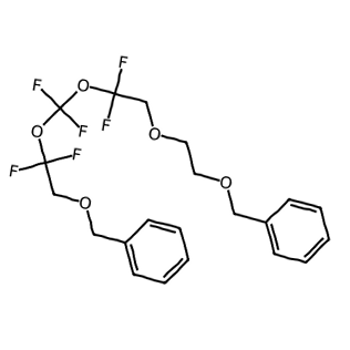 FC(F)(COCCOCc1ccccc1)OC(F)(F)OC(F)(F)COCc1ccccc1